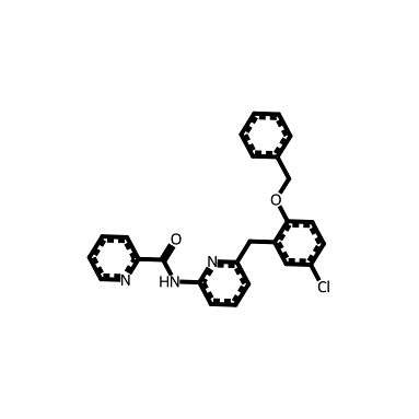 O=C(Nc1cccc(Cc2cc(Cl)ccc2OCc2ccccc2)n1)c1ccccn1